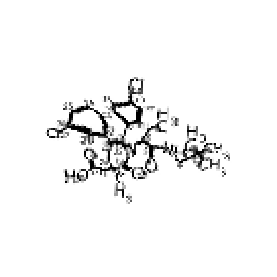 CC[C@@H](C(=O)NCC(C)(C)C)N1C(=O)[C@](C)(CC(=O)O)C[C@H](c2cccc(Cl)c2)[C@H]1c1ccc(Cl)cc1